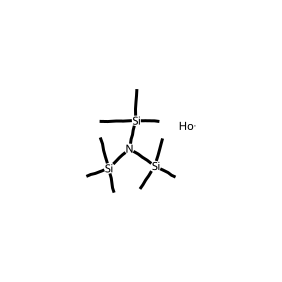 C[Si](C)(C)N([Si](C)(C)C)[Si](C)(C)C.[Ho]